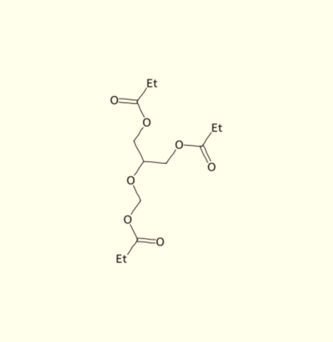 CCC(=O)OCOC(COC(=O)CC)COC(=O)CC